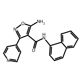 Nc1onc(-c2ccncc2)c1C(=O)Nc1cccc2ccccc12